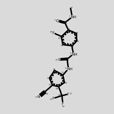 CNC(=O)c1ccc(NC(=S)Nc2ccc(C#N)c(C(F)(F)F)c2)cc1F